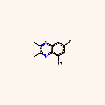 Cc1nc2cc(F)cc(C(C)C)c2nc1C